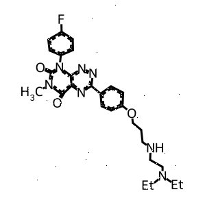 CCN(CC)CCNCCCOc1ccc(-c2nnc3c(n2)c(=O)n(C)c(=O)n3-c2ccc(F)cc2)cc1